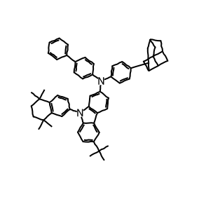 CC(C)(C)c1ccc2c(c1)c1ccc(N(c3ccc(-c4ccccc4)cc3)c3ccc(C4CC5CC6CC7C4CC67C5)cc3)cc1n2-c1ccc2c(c1)C(C)(C)CCC2(C)C